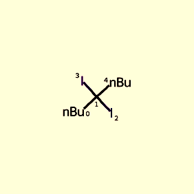 CCCCC(I)(I)CCCC